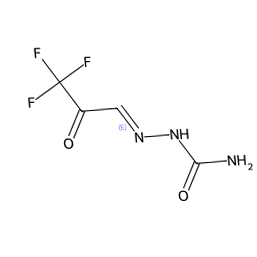 NC(=O)N/N=C/C(=O)C(F)(F)F